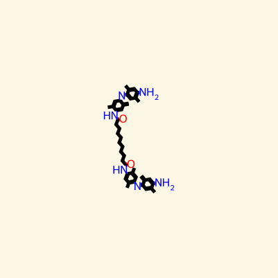 C=C1C=C(NC(=O)CCCCCCCCCC(=O)Nc2cc(C)c(/N=C3/C=C(C)C(N)=CC3=C)cc2C)C(C)=C/C1=N/c1cc(C)c(N)cc1C